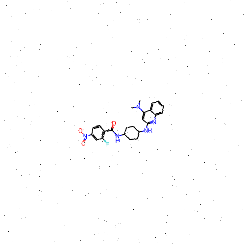 CN(C)c1cc(NC2CCC(NC(=O)c3ccc([N+](=O)[O-])cc3F)CC2)nc2ccccc12